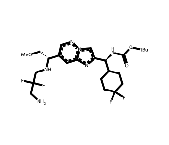 COC[C@@H](NCC(F)(F)CN)c1cnn2cc([C@@H](NC(=O)OC(C)(C)C)C3CCC(F)(F)CC3)nc2c1